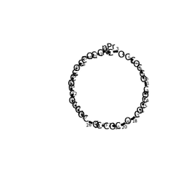 CCCN1CCOCCOCCOCCOCCOCCOCCOCCOCCOCCOCCOCCOCCOCC1